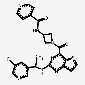 CC(Nc1nc(C(=O)N2CC(NC(=O)c3ccncc3)C2)c2sccc2n1)c1cncc(F)c1